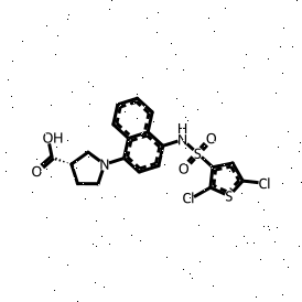 O=C(O)[C@H]1CCN(c2ccc(NS(=O)(=O)c3cc(Cl)sc3Cl)c3ccccc23)C1